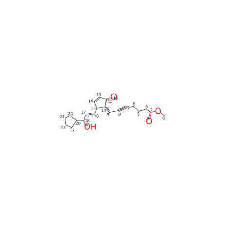 COC(=O)CCCC#C/C=C1\C(=O)C=CC1/C=C/C(O)C1CCCC1